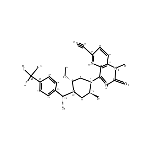 CC[C@@H]1CN(c2nc(=O)n(C)c3ccc(C#N)nc23)[C@@H](C)CN1[C@H](C)c1ccc(C(F)(F)F)cc1